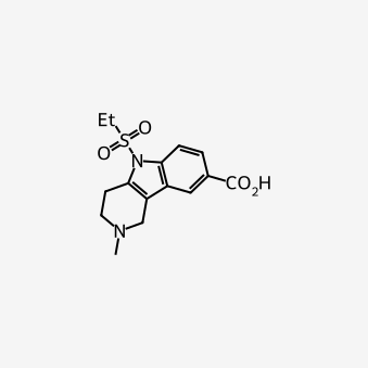 CCS(=O)(=O)n1c2c(c3cc(C(=O)O)ccc31)CN(C)CC2